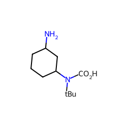 CC(C)(C)N(C(=O)O)C1CCCC(N)C1